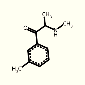 CNC(C)C(=O)c1cccc(C)c1